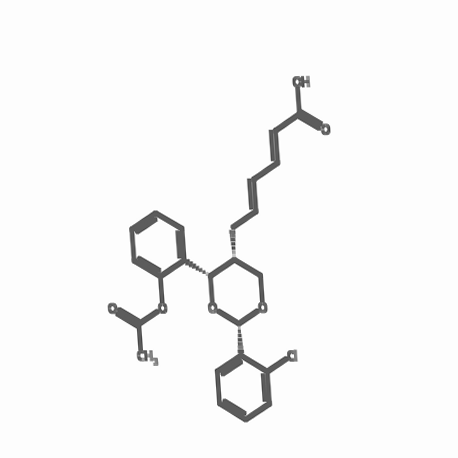 CC(=O)Oc1ccccc1[C@H]1O[C@@H](c2ccccc2Cl)OC[C@H]1CC=CC=CC(=O)O